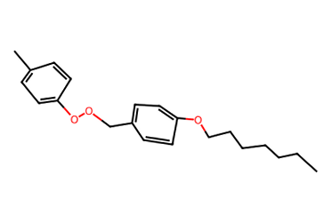 CCCCCCCOc1ccc(COOc2ccc(C)cc2)cc1